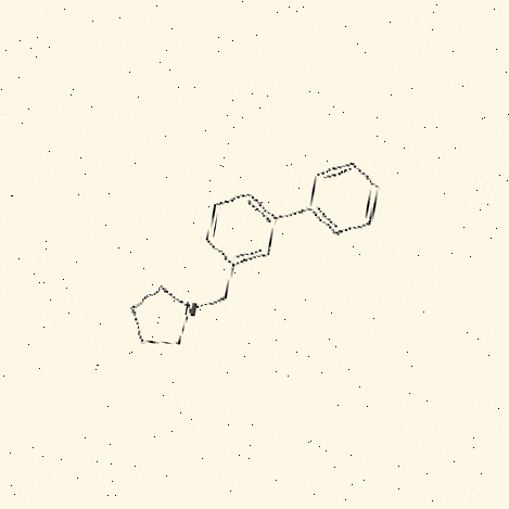 [c]1ccc(-c2ccccc2)cc1CN1CCCC1